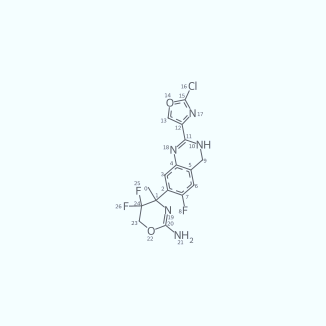 CC1(c2cc3c(cc2F)CNC(c2coc(Cl)n2)=N3)N=C(N)OCC1(F)F